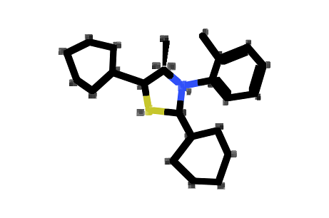 Cc1ccccc1N1C(C2CCCCC2)SC(C2CCCCC2)[C@@H]1C